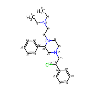 CCN(CC)CCN1CCN(CC(Cl)c2ccccc2)CC1c1ccccc1